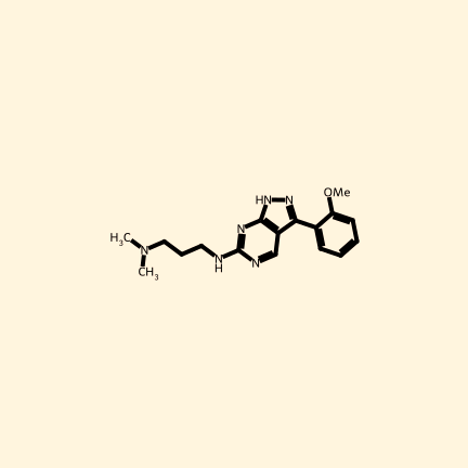 COc1ccccc1-c1n[nH]c2nc(NCCCN(C)C)ncc12